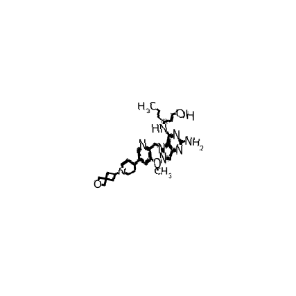 CCC[C@@H](CCO)Nc1nc(N)nc2cnn(Cc3ncc(C4CCN(C5CC6(COC6)C5)CC4)cc3OC)c12